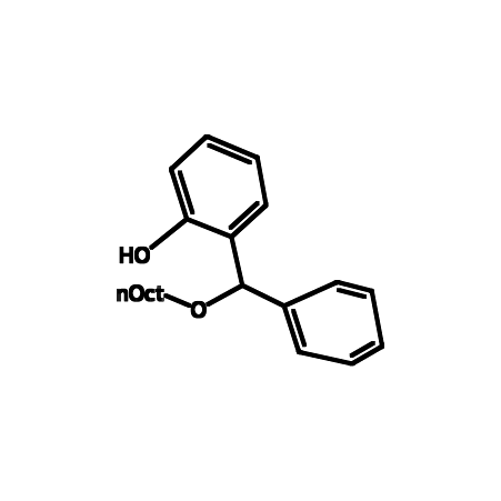 CCCCCCCCOC(c1ccccc1)c1ccccc1O